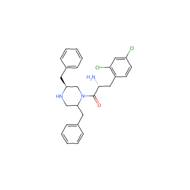 N[C@H](Cc1ccc(Cl)cc1Cl)C(=O)N1C[C@H](Cc2ccccc2)NCC1Cc1ccccc1